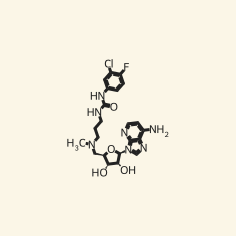 CN(CCCNC(=O)Nc1ccc(F)c(Cl)c1)C[C@H]1O[C@@H](n2cnc3c(N)ccnc32)[C@H](O)[C@@H]1O